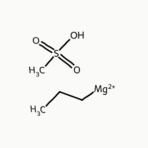 CC[CH2][Mg+2].CS(=O)(=O)O